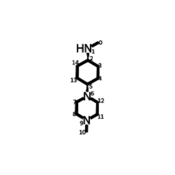 CN[C@H]1CC[C@@H](N2CCN(C)CC2)CC1